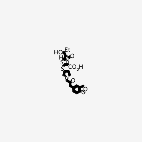 CC[C@H](O)[C@@H]1C(=O)N2C(C(=O)O)=C(SC3CCN(CC(=O)Cc4ccc5c(c4)COO5)C3)S[C@H]12